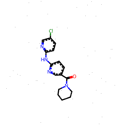 O=C(c1ccc(Nc2ccc(Cl)cn2)nc1)N1CCCCC1